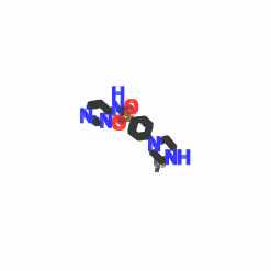 C[C@@H]1CN(c2ccc(S(=O)(=O)Nc3ccncn3)cc2)CCN1